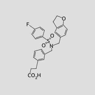 O=C(O)CCc1cccc(CN(Cc2ccc3c(c2)CCO3)S(=O)(=O)c2ccc(F)cc2)c1